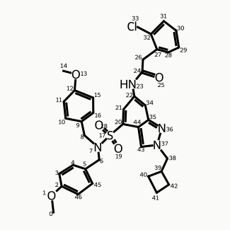 COc1ccc(CN(Cc2ccc(OC)cc2)S(=O)(=O)c2cc(NC(=O)Cc3ccccc3Cl)cc3nn(CC4CCC4)cc23)cc1